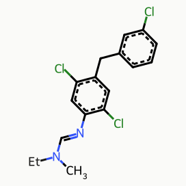 CCN(C)C=Nc1cc(Cl)c(Cc2cccc(Cl)c2)cc1Cl